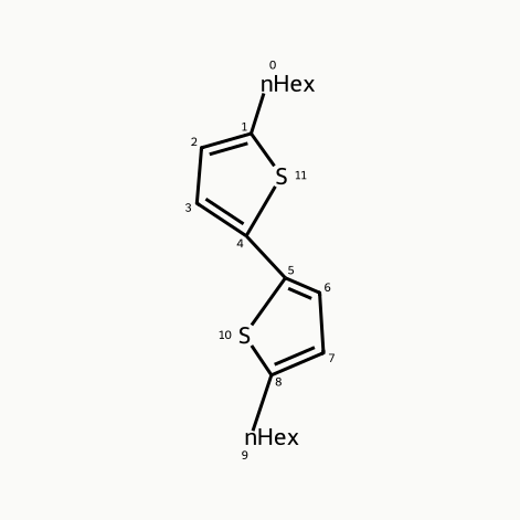 CCCCCCc1ccc(-c2ccc(CCCCCC)s2)s1